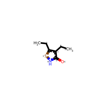 CCc1s[nH]c(=O)c1CC